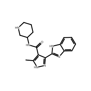 Cc1[nH]nc(-c2nc3ccccc3[nH]2)c1C(=O)NC1CCCNC1